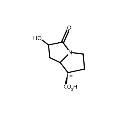 O=C(O)[C@@H]1CCN2C(=O)C(O)CC12